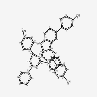 N#Cc1ccc(-c2ccc3c(c2)c2cc(-c4ccc(C#N)cc4)ccc2n3-c2cc(C#N)ccc2-c2nc(-c3ccccc3)cc(-c3ccccc3)n2)cc1